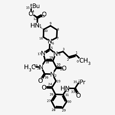 C/C=C/Cn1c(N2CCC[C@@H](NC(=O)OC(C)(C)C)C2)nc2c1c(=O)n(CC(=O)c1ccccc1NC(=O)C(C)C)c(=O)n2C